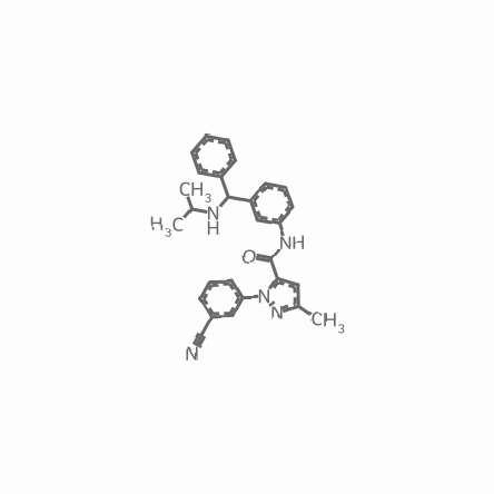 Cc1cc(C(=O)Nc2cccc(C(NC(C)C)c3ccccc3)c2)n(-c2cccc(C#N)c2)n1